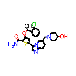 CC(Oc1cc(-c2cnc3ccc(CN4CCC(O)CC4)cn23)sc1C(N)=O)c1ccccc1Cl